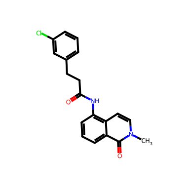 Cn1ccc2c(NC(=O)CCc3cccc(Cl)c3)cccc2c1=O